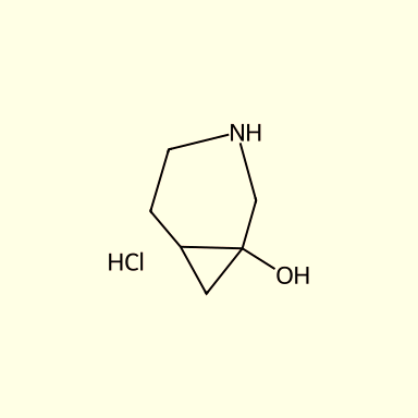 Cl.OC12CNCCC1C2